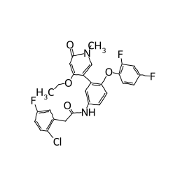 CCOc1cc(=O)n(C)cc1-c1cc(NC(=O)Cc2cc(F)ccc2Cl)ccc1Oc1ccc(F)cc1F